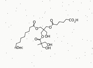 CCCCCCCCCCCCCCCCCC(=O)OCC(CO)(COC(=O)CCCCC(=O)O)COC(=O)C(C)(CO)CO